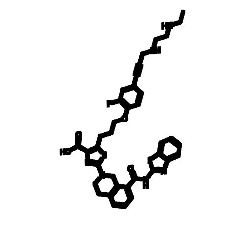 CCNCCNCC#Cc1ccc(OCCCc2sc(N3CCc4cccc(C(=O)Nc5nc6ccccc6s5)c4C3)nc2C(=O)O)c(F)c1